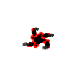 CCCOc1ccc(C(=O)OOC(=O)OC2CCC(C(C3CCC(OC(=O)OOC(=O)c4ccc(OCCC)cc4)CC3)(C3CCC(OC(=O)OOC(=O)c4ccc(OCCC)cc4)CC3)C3CCC(OC(=O)OOC(=O)c4ccc(OCCC)cc4)CC3)CC2)cc1